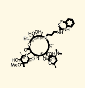 CC[C@H]1OC(=O)[C@H](C)[C@@H](O[C@H]2C[C@@](C)(OC)[C@@H](O)[C@H](C)O2)[C@H](C)[C@@H](O[C@@H]2O[C@H](C)C[C@H](N(C)C)[C@H]2O)[C@](C)(O)C[C@@H](C)CN(CCCNC(=S)Nc2ccccc2F)[C@H](C)[C@@H](O)[C@]1(C)O